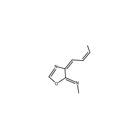 C\C=C/C=C1/N=CO/C1=N\C